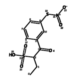 CCC(C(=O)c1[c]ccc(S[N+](=O)[O-])c1)S(=O)(=O)O